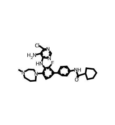 CN1CCCN(c2ccc(-c3ccc(NC(=O)C4CCCCC4)cc3)c(F)c2Nc2ncnc(Cl)c2N)CC1